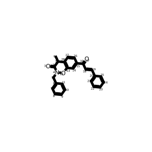 CC1C(=O)N(Cc2ccccc2)Oc2cc(C(=O)/C=C/c3ccccc3)ccc21